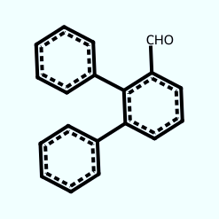 O=Cc1cccc(-c2ccccc2)c1-c1ccccc1